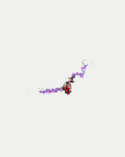 CC/C=C\C/C=C\C/C=C\C/C=C\C/C=C\C/C=C\CCC(=O)NCCNC(=O)c1ccc(C(F)(F)F)cc1OC(=O)CC/C=C\C/C=C\C/C=C\C/C=C\C/C=C\C/C=C\CC